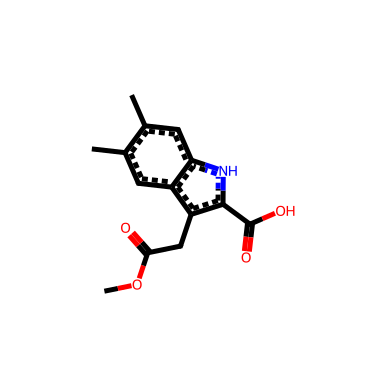 COC(=O)Cc1c(C(=O)O)[nH]c2cc(C)c(C)cc12